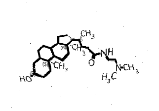 C[C@H](CCC(=O)NCCN(C)C)[C@H]1CCC2C3CCC4C[C@H](O)CC[C@]4(C)C3CC[C@@]21C